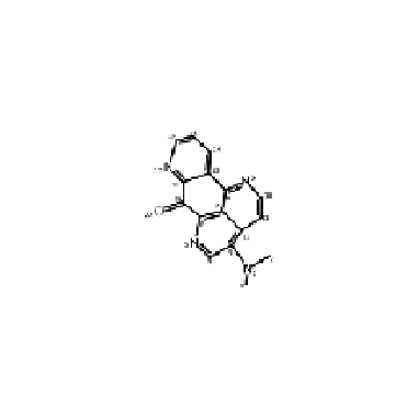 CN(C)c1cnc2c3c(nccc13)-c1cccnc1C2=O